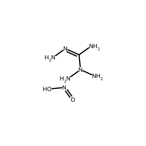 NN=C(N)N(N)N.O=NO